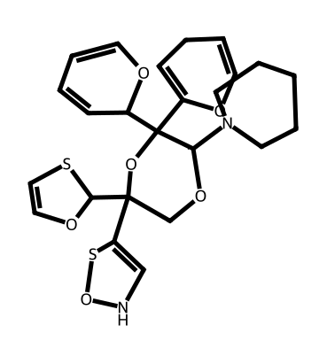 C1=COC(C2(C3=CCC=CO3)OC(C3=CNOS3)(C3OC=CS3)CO[C]2N2CCCCC2)C=C1